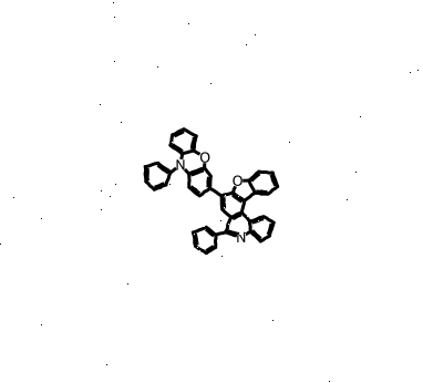 c1ccc(-c2nc3ccccc3c3c2cc(-c2ccc4c(c2)Oc2ccccc2N4c2ccccc2)c2oc4ccccc4c23)cc1